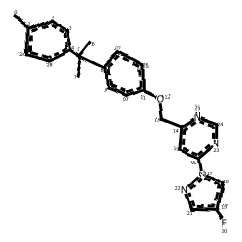 Cc1ccc(C(C)(C)c2ccc(OCc3cc(-n4cc(F)cn4)ncn3)cc2)cc1